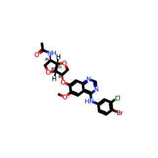 COc1cc2c(Nc3ccc(Br)c(Cl)c3)ncnc2cc1O[C@@H]1CO[C@@H]2[C@H]1OC[C@H]2NC(C)=O